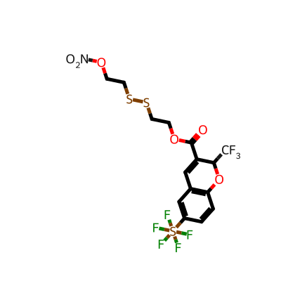 O=C(OCCSSCCO[N+](=O)[O-])C1=Cc2cc(S(F)(F)(F)(F)F)ccc2OC1C(F)(F)F